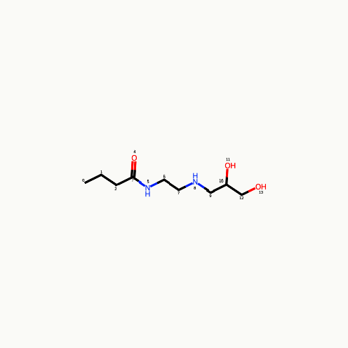 CCCC(=O)NCCNCC(O)CO